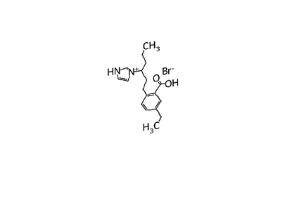 CCCC(CCc1ccc(CC)cc1C(=O)O)[n+]1cc[nH]c1.[Br-]